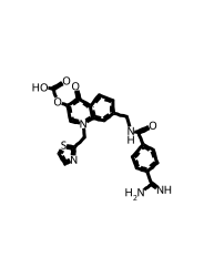 N=C(N)c1ccc(C(=O)NCc2ccc3c(=O)c(OC(=O)O)cn(Cc4nccs4)c3c2)cc1